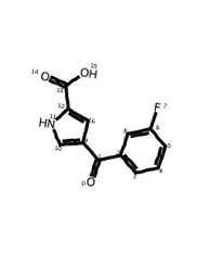 O=C(c1cccc(F)c1)c1c[nH]c(C(=O)O)c1